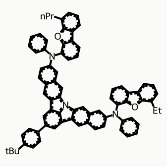 CCCc1cccc2c1oc1c(N(c3ccccc3)c3ccc4cc5c6cc(-c7ccc(C(C)(C)C)cc7)cc7c8cc9ccc(N(c%10ccccc%10)c%10cccc%11c%10oc%10c(CC)cccc%10%11)cc9cc8n(c5cc4c3)c76)cccc12